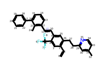 C=Cc1cc(C(F)(F)F)c(/C=C/c2cccc(-c3ccccc3)c2C)cc1CCc1cc(C)ccn1